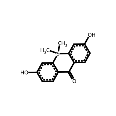 CS1(C)c2cc(O)ccc2C(=O)c2ccc(O)cc21